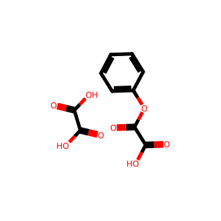 O=C(O)C(=O)O.O=C(O)C(=O)Oc1ccccc1